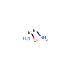 CCN.CCO.N